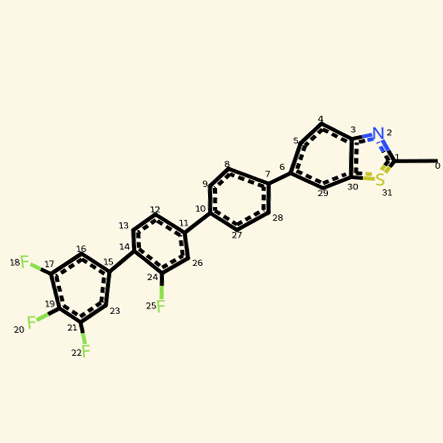 Cc1nc2ccc(-c3ccc(-c4ccc(-c5cc(F)c(F)c(F)c5)c(F)c4)cc3)cc2s1